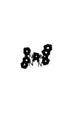 N#Cc1c(-n2c3ccccc3c3cc4ccccc4cc32)ccc(-n2c3ccccc3c3cc4ccccc4cc32)c1C#N